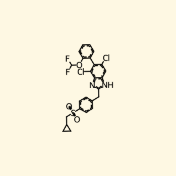 O=S(=O)(CC1CC1)c1ccc(Cc2nc3c(Cl)c(-c4ccccc4OC(F)F)c(Cl)cc3[nH]2)cc1